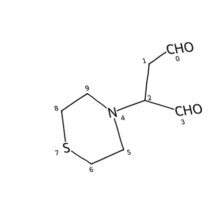 O=CCC(C=O)N1CCSCC1